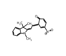 CN1/C(=C/C=C2\C=C([N+](=O)[O-])C=CC2=O)C(C)(C)c2ccccc21